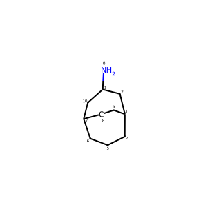 NC1CC2CCCC(CC2)C1